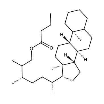 CCCC(=O)OCC(C)[C@@H](C)CC[C@@H](C)[C@H]1CC[C@H]2[C@@H]3CCC4CCCC[C@]4(C)[C@H]3CC[C@]12C